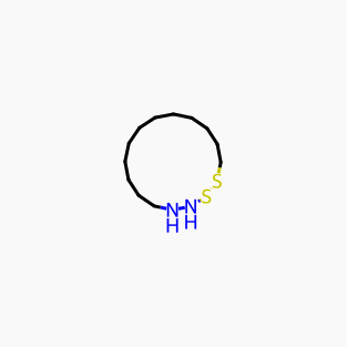 C1CCCCCCSSNNCCCCC1